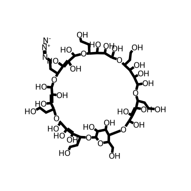 [N-]=[N+]=NCCC1OC(O)/C(O)=C(\O)C(CCO)OC(O)/C(O)=C(/O)C(CCO)OC2OC(CO)C(OC(O)/C(O)=C(\O)C(CCO)OC(O)C(O)C(O)C(CCO)OC(O)C(O)C(O)C(CCO)OC(O)/C(O)=C/1O)C(O)C2O